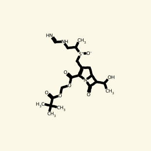 CC(O)C1C(=O)N2C(C(=O)OCOC(=O)C(C)(C)C)=C(C[S+]([O-])C(C)CNC=N)CC12